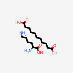 NCCCCC(N)C(=O)O.O=C(O)CCCCCCCCCC(=O)O